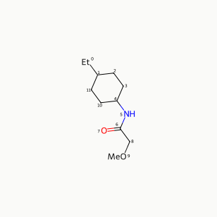 CCC1CCC(NC(=O)COC)CC1